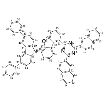 C1=Cc2ccc(-c3nc(-c4ccc5ccccc5c4)nc(-c4cccc5oc6c(-n7c8ccc(-c9ccccc9)cc8c8cc(-c9ccccc9)ccc87)cccc6c45)n3)cc2CC1